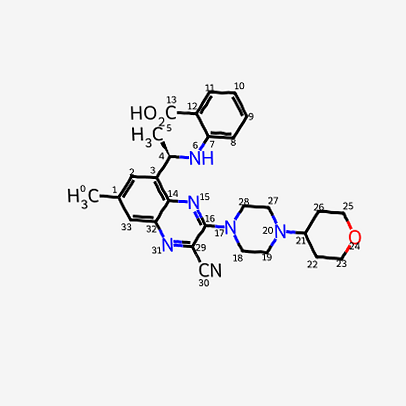 Cc1cc([C@@H](C)Nc2ccccc2C(=O)O)c2nc(N3CCN(C4CCOCC4)CC3)c(C#N)nc2c1